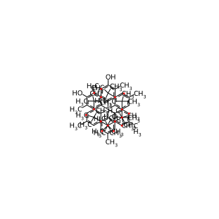 Cc1cc(C(C)(C)C)c(S(c2cc(C)c(O)c(C)c2)(c2cc(C)c(O)c(C)c2)(c2c(C(C)(C)C)cc(C)cc2C(C)(C)C)(c2c(C(C)(C)C)cc(C)cc2C(C)(C)C)c2c(C(C)(C)C)cc(C)cc2C(C)(C)C)c(C(C)(C)C)c1